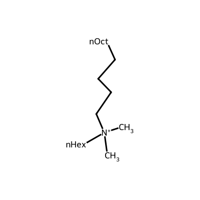 CCCCCCCCCCCC[N+](C)(C)CCCCCC